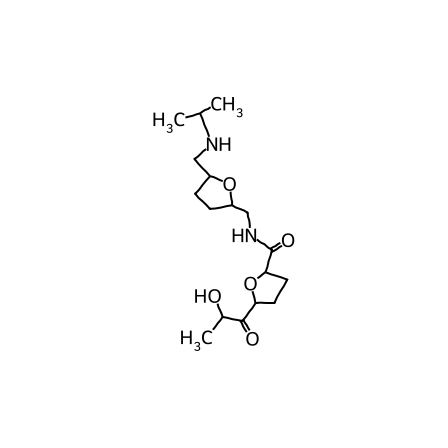 CC(C)NCC1CCC(CNC(=O)C2CCC(C(=O)C(C)O)O2)O1